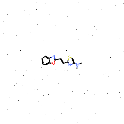 CN(C)c1csc(C=Cc2nc3ccccc3o2)n1